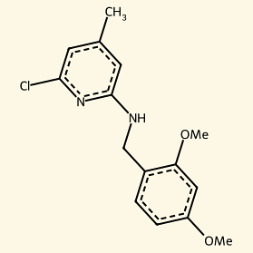 COc1ccc(CNc2cc(C)cc(Cl)n2)c(OC)c1